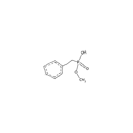 COP(=O)(O)Cc1cc[c]cc1